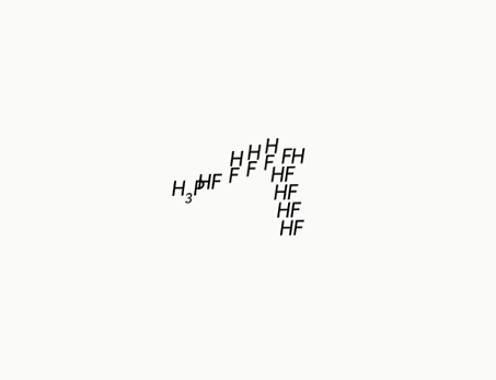 F.F.F.F.F.F.F.F.F.P